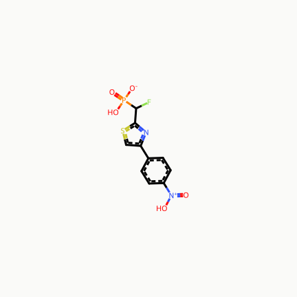 O=[N+](O)c1ccc(-c2csc(C(F)P(=O)([O-])O)n2)cc1